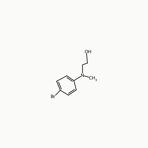 CN(CCO)c1ccc(Br)cc1